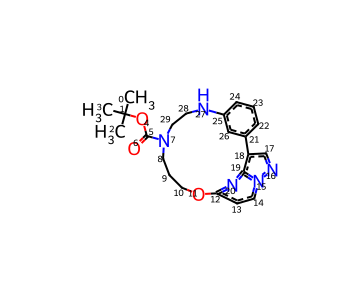 CC(C)(C)OC(=O)N1CCCOc2ccn3ncc(c3n2)-c2cccc(c2)NCC1